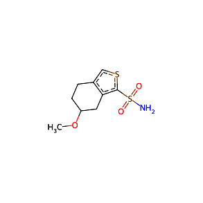 COC1CCc2csc(S(N)(=O)=O)c2C1